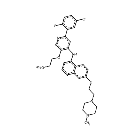 COCCOc1nnc(-c2cc(Cl)ccc2F)cc1Nc1ccnc2cc(OCCN3CCN(C)CC3)ccc12